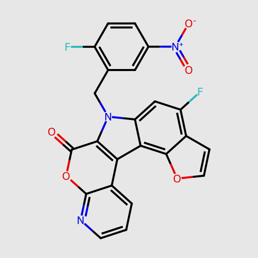 O=c1oc2ncccc2c2c3c4occc4c(F)cc3n(Cc3cc([N+](=O)[O-])ccc3F)c12